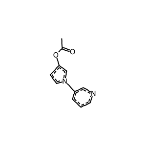 CC(=O)Oc1ccn(-c2cccnc2)c1